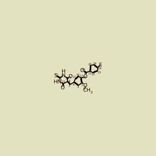 COc1cc(C=C2C(=O)NC(=S)NC2=O)ccc1OC(=O)c1ccc(F)cc1